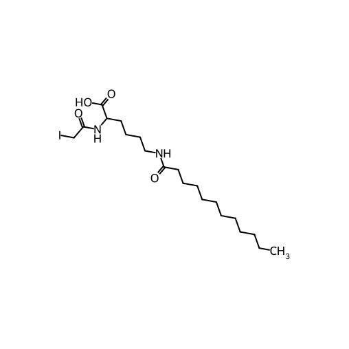 CCCCCCCCCCCC(=O)NCCCCC(NC(=O)CI)C(=O)O